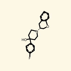 OC1(c2ccc(F)cc2)CCN([C@H]2COc3ccccc3C2)CC1